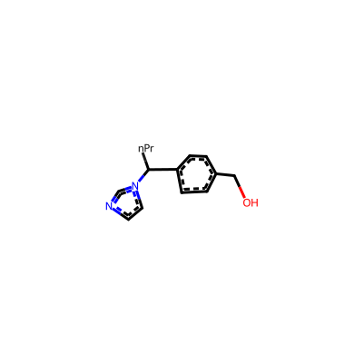 CCCC(c1ccc(CO)cc1)n1ccnc1